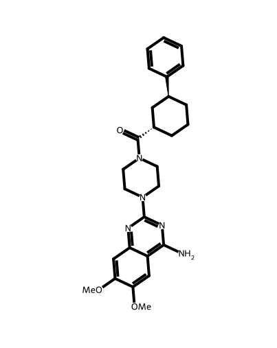 COc1cc2nc(N3CCN(C(=O)[C@H]4CCC[C@H](c5ccccc5)C4)CC3)nc(N)c2cc1OC